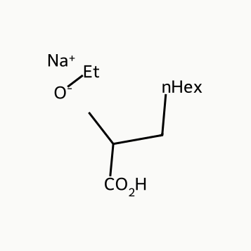 CCCCCCCC(C)C(=O)O.CC[O-].[Na+]